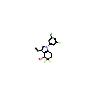 C=Cc1cn(-c2cc(F)cc(Cl)c2)c2c1C(O)C(F)(F)CC2